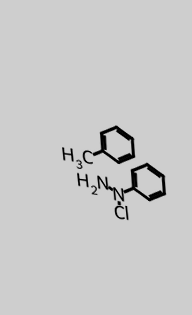 Cc1ccccc1.NN(Cl)c1ccccc1